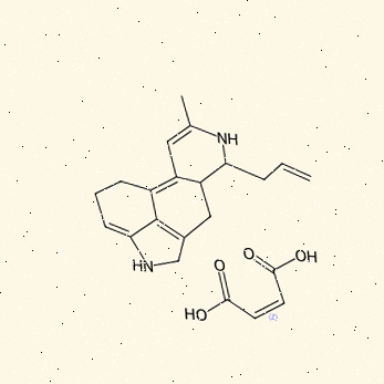 C=CCC1NC(C)=CC2=C3CCC=C4NCC(=C43)CC21.O=C(O)/C=C\C(=O)O